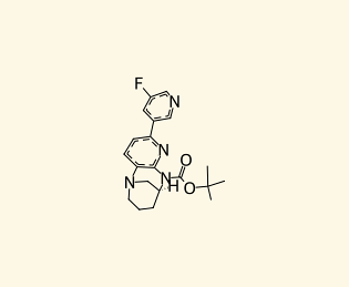 CC(C)(C)OC(=O)N1c2nc(-c3cncc(F)c3)ccc2N2CCC[C@H]1C2